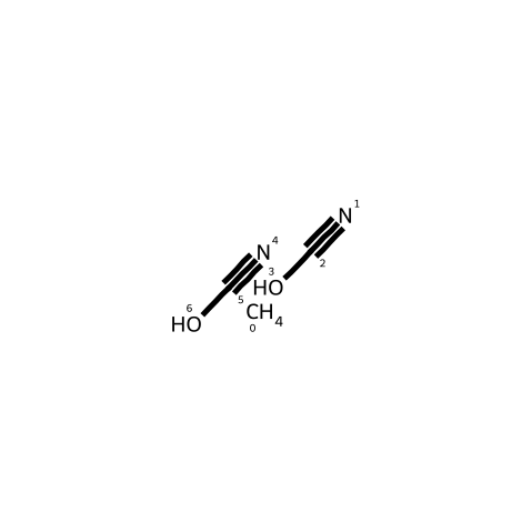 C.N#CO.N#CO